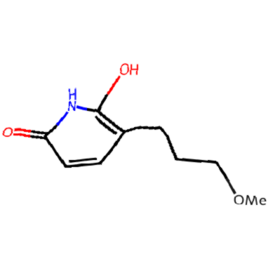 COCCCc1ccc(=O)[nH]c1O